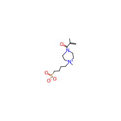 C=C(C)C(=O)N1CC[N+](C)(CCCCS(=O)(=O)[O-])CC1